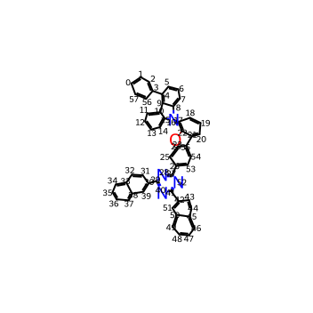 c1ccc(-c2cccc3c2c2ccccc2n3-c2cccc3c2oc2cc(-c4nc(-c5ccc6ccccc6c5)nc(-c5ccc6ccccc6c5)n4)ccc23)cc1